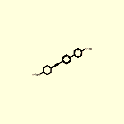 CCCCCCCC1CCC(C#Cc2ccc(-c3ccc(CCCCCC)cc3)cc2)CC1